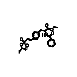 CCOC(=O)C(Cc1ccc(C=CS(=O)(=O)OC(F)F)cc1)NC(=O)c1ccccc1